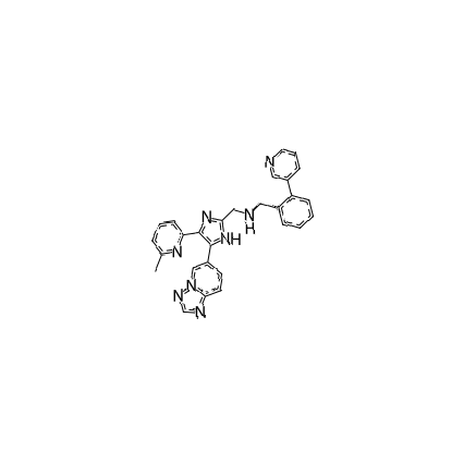 Cc1cccc(-c2nc(CNCc3ccccc3-c3cccnc3)[nH]c2-c2ccc3ncnn3c2)n1